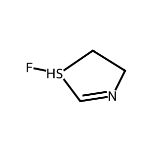 F[SH]1C=NCC1